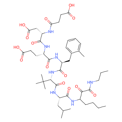 CCCCC(NC(=O)[C@H](CC(C)C)NC(=O)[C@@H](NC(=O)[C@H](Cc1ccccc1C)NC(=O)[C@H](CCC(=O)O)NC(=O)[C@H](CC(=O)O)NC(=O)CCC(=O)O)C(C)(C)C)C(=O)C(=O)NCCC